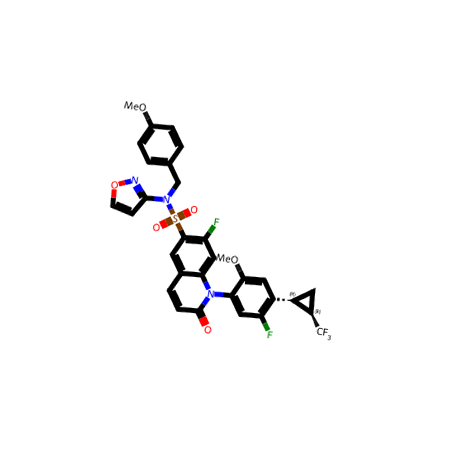 COc1ccc(CN(c2ccon2)S(=O)(=O)c2cc3ccc(=O)n(-c4cc(F)c([C@@H]5C[C@H]5C(F)(F)F)cc4OC)c3cc2F)cc1